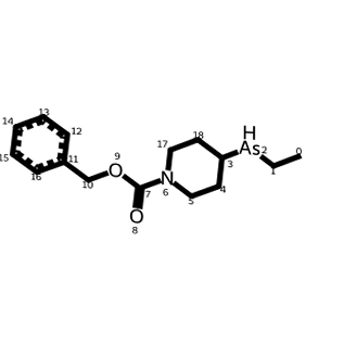 CC[AsH]C1CCN(C(=O)OCc2ccccc2)CC1